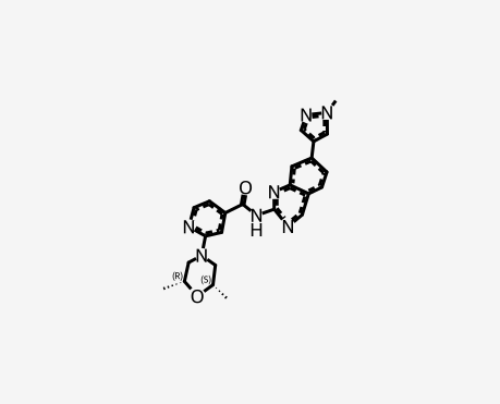 C[C@@H]1CN(c2cc(C(=O)Nc3ncc4ccc(-c5cnn(C)c5)cc4n3)ccn2)C[C@H](C)O1